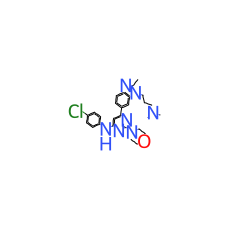 Cc1nc2ccc(-c3cc(Nc4ccc(Cl)cc4)nc(N4CCOCC4)n3)cc2n1CCCN(C)C